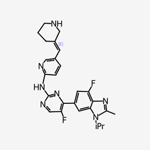 Cc1nc2c(F)cc(-c3nc(Nc4ccc(/C=C5\CCCNC5)cn4)ncc3F)cc2n1C(C)C